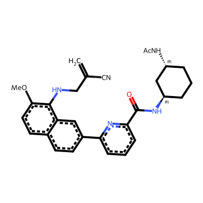 C=C(C#N)CNc1c(OC)ccc2ccc(-c3cccc(C(=O)N[C@@H]4CCC[C@@H](NC(C)=O)C4)n3)cc12